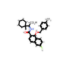 CC1(C(NC(=O)c2ccc3cc(F)ccc3c2OCc2ccc(C(F)(F)F)cc2)C(=O)O)CCCCC1